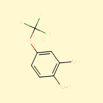 CC(=O)Nc1ccc(OC(F)(F)Cl)cc1[N+](=O)[O-]